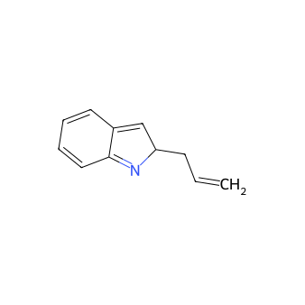 C=CCC1C=c2ccccc2=N1